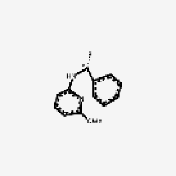 COc1cccc(N[C@H](C)c2ccccc2)n1